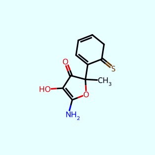 CC1(C2=CC=CCC2=S)OC(N)=C(O)C1=O